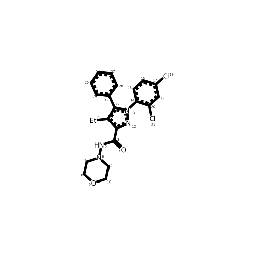 CCc1c(C(=O)NN2CCOCC2)nn(-c2ccc(Cl)cc2Cl)c1-c1ccccc1